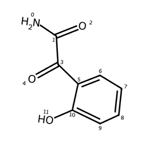 NC(=O)C(=O)c1ccccc1O